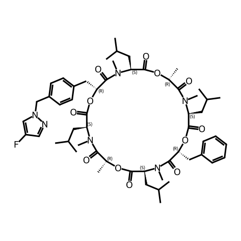 CC(C)C[C@H]1C(=O)O[C@H](Cc2ccc(Cn3cc(F)cn3)cc2)C(=O)N(C)[C@@H](CC(C)C)C(=O)O[C@H](C)C(=O)N(C)[C@@H](CC(C)C)C(=O)O[C@H](Cc2ccccc2)C(=O)N(C)[C@@H](CC(C)C)C(=O)O[C@H](C)C(=O)N1C